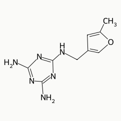 Cc1cc(CNc2nc(N)nc(N)n2)co1